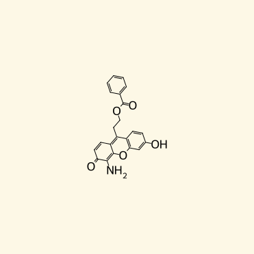 Nc1c2oc3cc(O)ccc3c(CCOC(=O)c3ccccc3)c-2ccc1=O